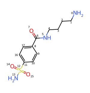 NCCCCNC(=O)c1ccc(S(N)(=O)=O)cc1